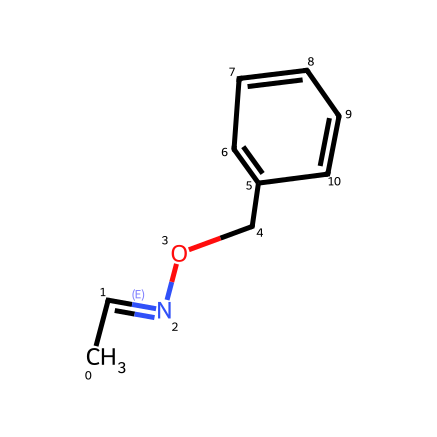 C/C=N/OCc1ccccc1